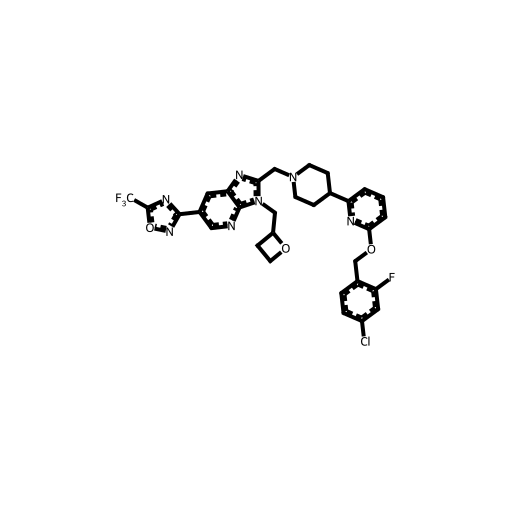 Fc1cc(Cl)ccc1COc1cccc(C2CCN(Cc3nc4cc(-c5noc(C(F)(F)F)n5)cnc4n3CC3CCO3)CC2)n1